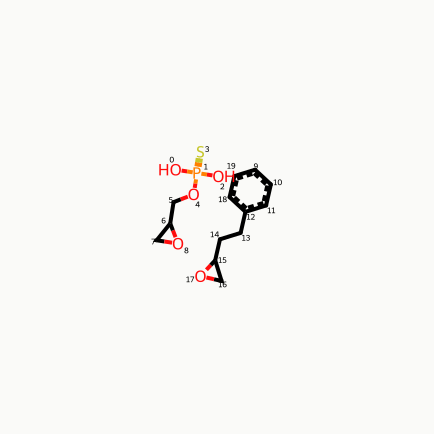 OP(O)(=S)OCC1CO1.c1ccc(CCC2CO2)cc1